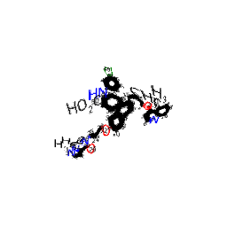 C[C@@H](COc1ccnc2c1[C@H](C)CCC2)C[C@H]1Cc2ccc(OCCCN(C)C(=O)c3ccnn3C)cc2C12CCC(Nc1cccc(Cl)c1)(C(=O)O)CC2